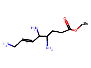 CC(C)(C)OC(=O)CCC(N)C(N)/C=C/CN